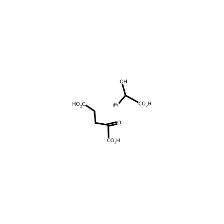 CC(C)C(O)C(=O)O.O=C(O)CCC(=O)C(=O)O